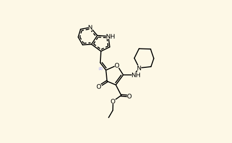 CCOC(=O)C1=C(NN2CCCCC2)O/C(=C\c2c[nH]c3ncccc23)C1=O